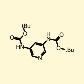 CC(C)(C)OC(=O)Nc1cncc(NC(=O)OC(C)(C)C)c1